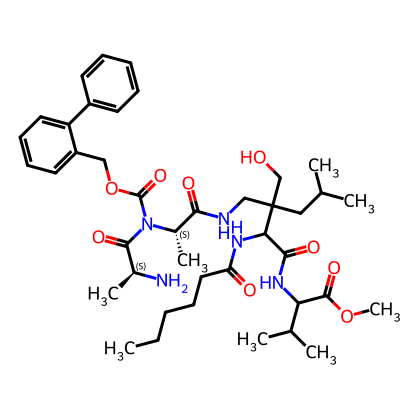 CCCCCC(=O)NC(C(=O)NC(C(=O)OC)C(C)C)C(CO)(CNC(=O)[C@H](C)N(C(=O)OCc1ccccc1-c1ccccc1)C(=O)[C@H](C)N)CC(C)C